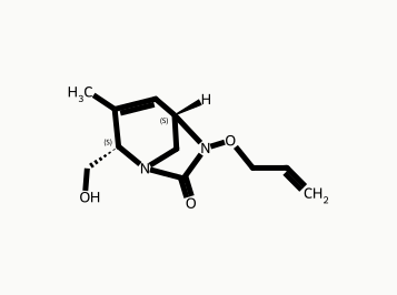 C=CCON1C(=O)N2C[C@@H]1C=C(C)[C@H]2CO